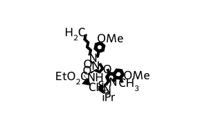 C=CCCCCCN(Cc1ccc(OC)cc1)C(=O)N1C[C@H](Oc2cc(-c3nc(C(C)C)cs3)nc3c(C)c(OC)ccc23)C[C@H]1C(=O)N[C@]1(C(=O)OCC)C[C@H]1C